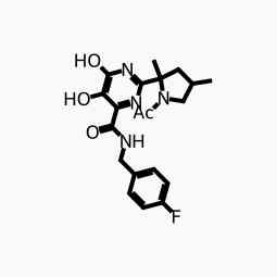 CC(=O)N1CC(C)CC1(C)c1nc(O)c(O)c(C(=O)NCc2ccc(F)cc2)n1